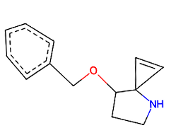 C1=CC12NCCC2OCc1ccccc1